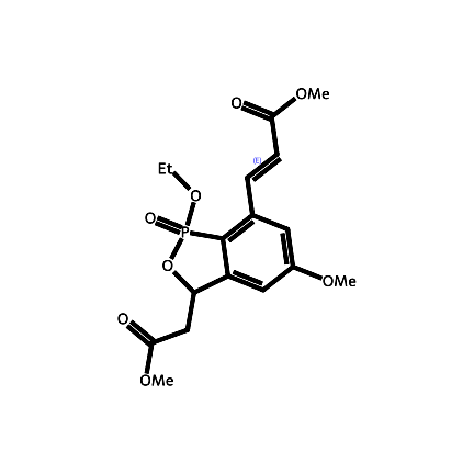 CCOP1(=O)OC(CC(=O)OC)c2cc(OC)cc(/C=C/C(=O)OC)c21